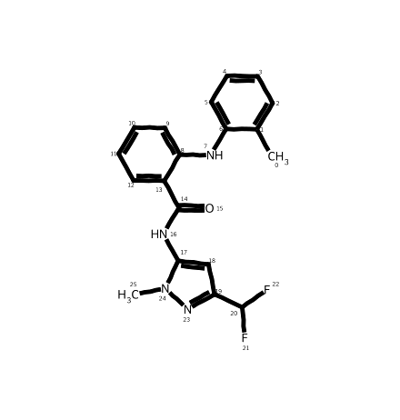 Cc1ccccc1Nc1ccccc1C(=O)Nc1cc(C(F)F)nn1C